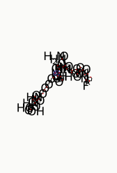 CC[C@@]1(OC(=O)OCc2ccc(NC(=O)[C@H](CCCNC(N)=O)NC(=O)[C@@H](NC(=O)/C(CC(=O)N[C@H]3CCOC3=O)=N/C(=O)CCOCCOCCOCCOCCNC(=O)[C@H](CNC(=O)CCP(=O)(O)O)N3C(=O)C=CC3=O)C(C)C)cc2)C(=O)OCc2c1cc1n(c2=O)Cc2c-1nc1cc(F)c(C)c3c1c2CCC3